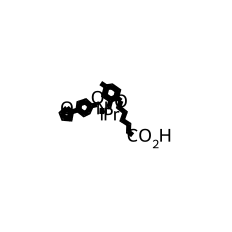 Cc1ccc(OCCCCCC(=O)O)c(CN(C(=O)c2ccc(-c3ccco3)cc2)C(C)C)c1